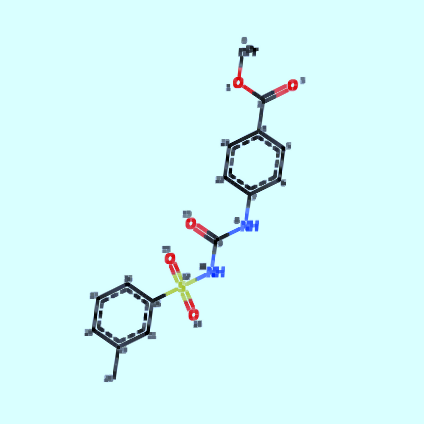 CCCOC(=O)c1ccc(NC(=O)NS(=O)(=O)c2cccc(C)c2)cc1